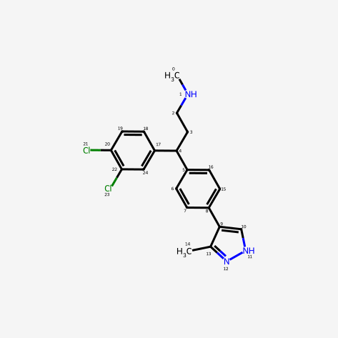 CNCCC(c1ccc(-c2c[nH]nc2C)cc1)c1ccc(Cl)c(Cl)c1